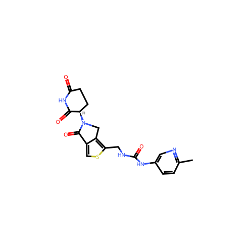 Cc1ccc(NC(=O)NCc2scc3c2CN([C@@H]2CCC(=O)NC2=O)C3=O)cn1